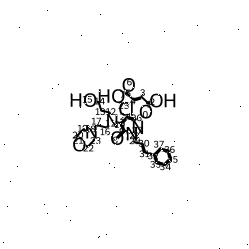 O=C(O)C=CC(=O)O.O=c1c(N(CCCO)CCN2CCOCC2)c(Cl)cnn1CC=Cc1ccccc1